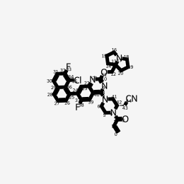 C=CC(=O)N1CCN(c2nc(OCC34CCCN3CCC4)nc3cc(-c4cccc5ccc(F)c(Cl)c45)c(F)cc23)C[C@@H]1CC#N